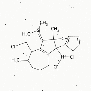 CC1CCCC2=C(C(=[Si](C)C)C(C)(C)[C]2(C2=CC=CC2)[Hf]([Cl])[Cl])C1CCl